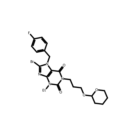 CCn1c(=O)n(CCCOC2CCCCO2)c(=O)c2c1nc(Br)n2Cc1ccc(F)cc1